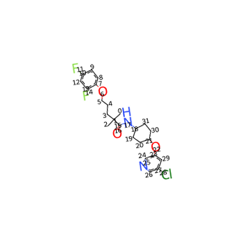 CC(C)(CCCOc1ccc(F)cc1F)C(=O)NC1CCC(Oc2cncc(Cl)c2)CC1